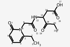 CCc1cccc(=O)n1CC(=O)NC(CC(=O)O)C(=O)CF